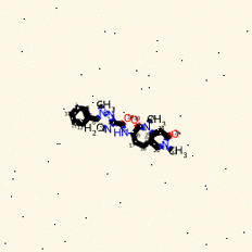 C=N/C(=N\N(C)Cc1ccccc1)C(=O)N[C@H]1CCc2cn(C)c(=O)cc2N(C)C1=O